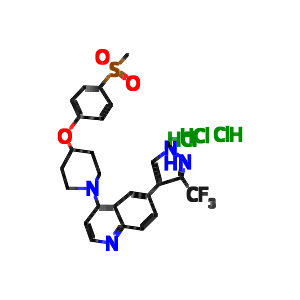 CS(=O)(=O)c1ccc(OC2CCN(c3ccnc4ccc(-c5c[nH]nc5C(F)(F)F)cc34)CC2)cc1.Cl.Cl.Cl